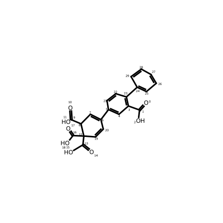 O=C(O)c1cc(C2=CC(C(=O)O)C(C(=O)O)(C(=O)O)C=C2)ccc1-c1ccccc1